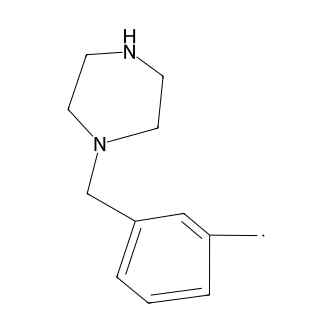 [CH2]c1cccc(CN2CCNCC2)c1